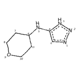 c1nn[nH]c1NC1CCOCC1